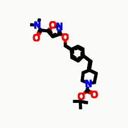 CN(C)C(=O)c1cc(OCc2ccc(C=C3CCN(C(=O)OC(C)(C)C)CC3)cc2)no1